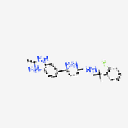 C=C1Nc2ccc(-c3ccc(NCC(C)(C)c4ccccc4F)nn3)cc2N1